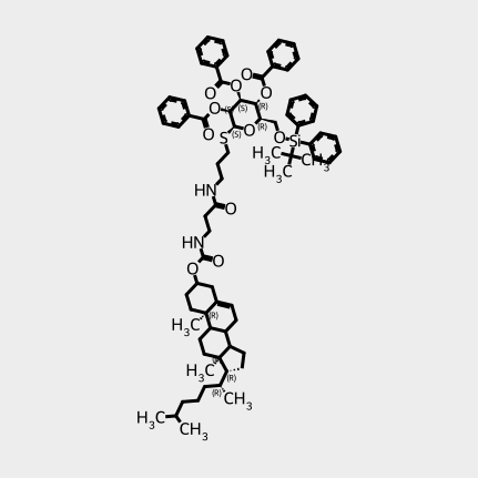 CC(C)CCC[C@@H](C)[C@H]1CCC2C3CC=C4CC(OC(=O)NCCC(=O)NCCCS[C@@H]5O[C@H](CO[Si](c6ccccc6)(c6ccccc6)C(C)(C)C)[C@@H](OC(=O)c6ccccc6)[C@H](OC(=O)c6ccccc6)[C@@H]5OC(=O)c5ccccc5)CC[C@]4(C)C3CC[C@@]21C